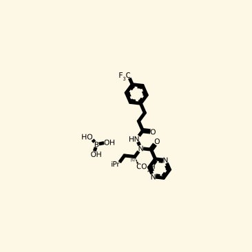 CC(C)C[C@@H](C(=O)O)N(NC(=O)CCc1ccc(C(F)(F)F)cc1)C(=O)c1cnccn1.OB(O)O